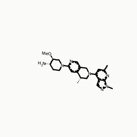 CO[C@H]1CN(c2cc3c(cn2)CN(c2cc(C)nc4c2cnn4C)C[C@@H]3C)CC[C@@H]1N